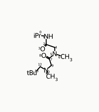 CC(C)NC(=O)CN(C)C(=O)CN(C)CC(C)(C)C